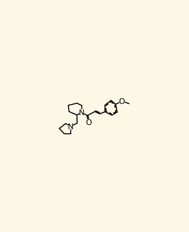 COc1ccc(C=CC(=O)N2CCCCC2CN2CCCC2)cc1